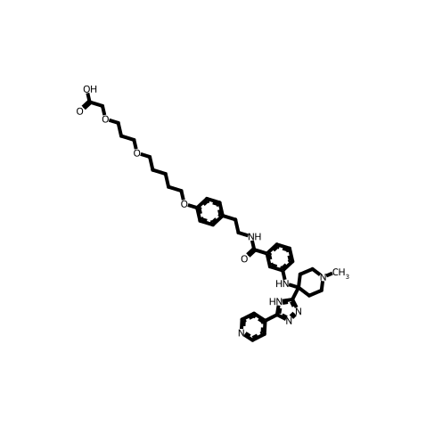 CN1CCC(Nc2cccc(C(=O)NCCc3ccc(OCCCCCOCCCOCC(=O)O)cc3)c2)(c2nnc(-c3ccncc3)[nH]2)CC1